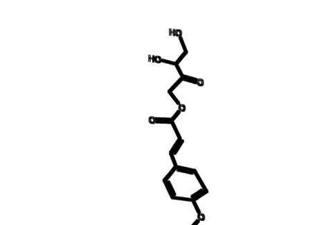 COc1ccc(C=CC(=O)OCC(=O)C(O)CO)cc1